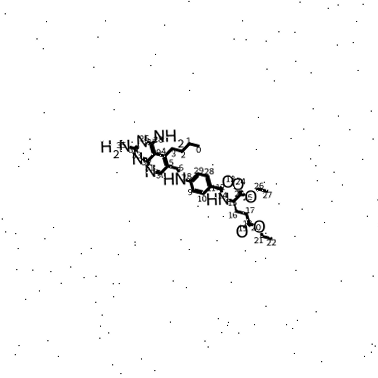 CCCCc1c(CNc2ccc(C(=O)N[C@H](CCC(=O)OCC)C(=O)OCC)cc2)cnc2nc(N)nc(N)c12